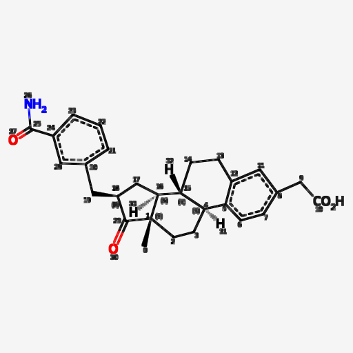 C[C@]12CC[C@@H]3c4ccc(CC(=O)O)cc4CC[C@H]3[C@@H]1C[C@H](Cc1cccc(C(N)=O)c1)C2=O